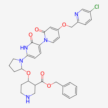 O=C(OCc1ccccc1)C1CNCCC1OC1CCCN1c1ccc(-n2ccc(OCc3ccc(Cl)cn3)cc2=O)c(=O)[nH]1